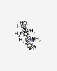 C=C(O/C(=N\N)c1scc(CC(C)C)c1CC(C)C)c1cc(C)c(OCC(O)CO)c(C)c1